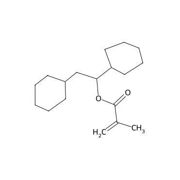 C=C(C)C(=O)OC(CC1CCCCC1)C1CCCCC1